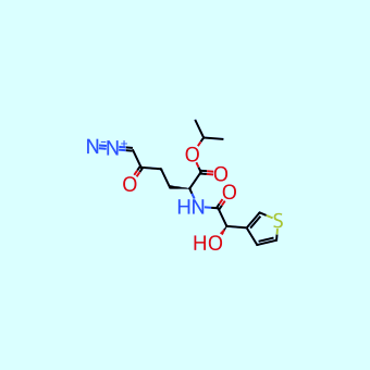 CC(C)OC(=O)[C@H](CCC(=O)C=[N+]=[N-])NC(=O)[C@H](O)c1ccsc1